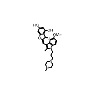 COc1ccc2c(c1)c(C=C1Oc3cc(O)cc(O)c3C1=O)c(C)n2CCCN1CCN(C)CC1